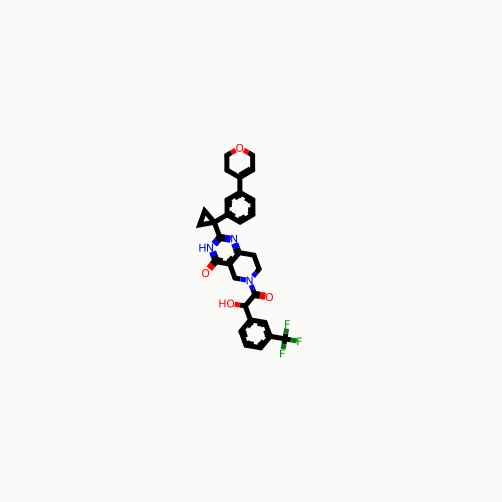 O=C(C(O)c1cccc(C(F)(F)F)c1)N1CCc2nc(C3(c4cccc(C5=CCOCC5)c4)CC3)[nH]c(=O)c2C1